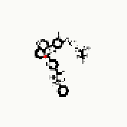 O=C(NS(=O)(=O)c1ccccc1)c1ccc(C(=O)N[C@]2(c3ccc(OC(F)(F)F)c(F)c3)CCOc3cccnc32)nc1.O=C(O)C(F)(F)F